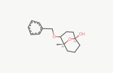 C[C@@]12CCC[C@@](O)(CCC1OCc1ccccc1)O2